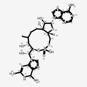 CC1CC[C@H]2[C@@H](O)[C@H](n3cnc4c(N)ncnc43)O[C@@H]2COP(=O)(O)O[C@@H]([C@@H](O)n2cnc3c2N=C(N)NC3N)[C@@H]1O